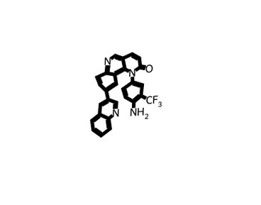 Nc1ccc(-n2c(=O)ccc3cnc4ccc(-c5cnc6ccccc6c5)cc4c32)cc1C(F)(F)F